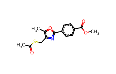 COC(=O)c1ccc(-c2nc(CSC(C)=O)c(C)o2)cc1